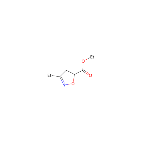 CCOC(=O)C1CC(CC)=NO1